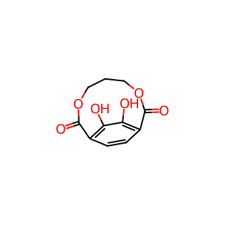 O=C1OCCCOC(=O)c2ccc1c(O)c2O